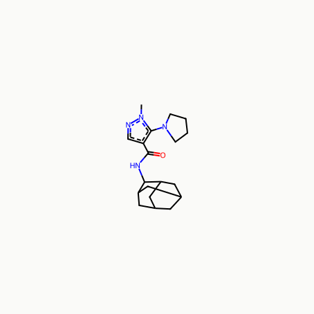 Cn1ncc(C(=O)NC2C3CC4CC(C3)CC2C4)c1N1CCCC1